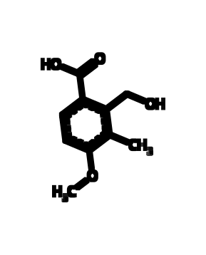 COc1ccc(C(=O)O)c(CO)c1C